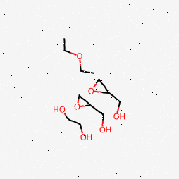 CCOCC.OCC1CO1.OCC1CO1.OCCO